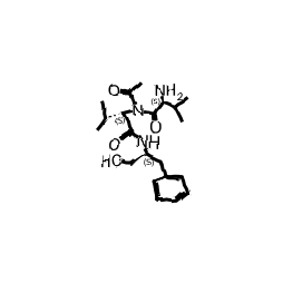 CC(=O)N(C(=O)[C@@H](N)C(C)C)[C@H](C(=O)N[C@H](CO)Cc1ccccc1)C(C)C